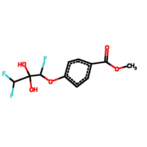 COC(=O)c1ccc(OC(F)C(O)(O)C(F)F)cc1